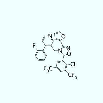 Fc1ccccc1-c1ccncc1CN1C(c2ccco2)=NOC1c1cc(C(F)(F)F)cc(C(F)(F)F)c1Cl